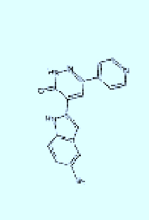 CC(C)c1ccc2[nH]c(-c3cc(-c4ccncc4)n[nH]c3=O)cc2c1